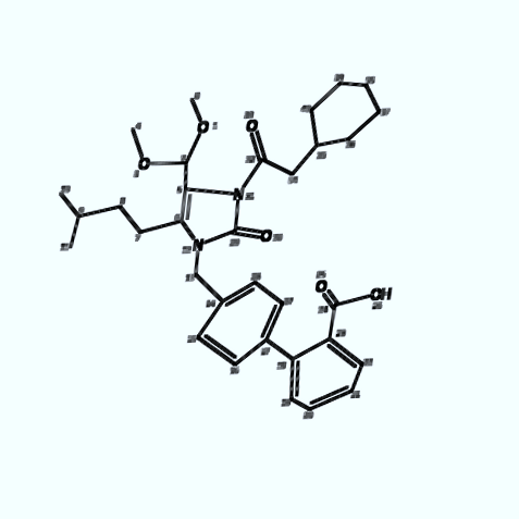 COC(OC)c1c(CCC(C)C)n(Cc2ccc(-c3ccccc3C(=O)O)cc2)c(=O)n1C(=O)CC1CCCCC1